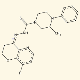 CC1CN(C(=S)N/N=C2/CCOc3c(F)ccnc32)CCN1c1ccccc1